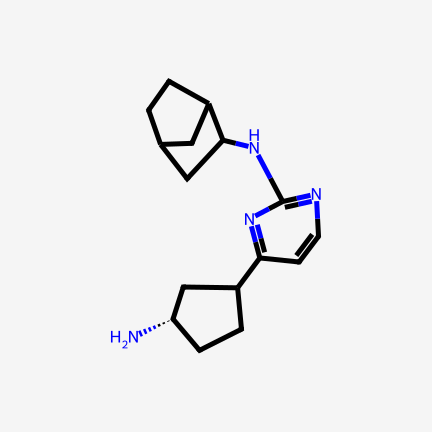 N[C@H]1CCC(c2ccnc(NC3CC4CCC3C4)n2)C1